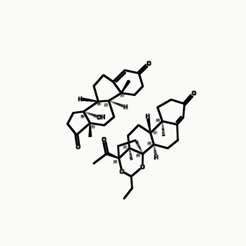 CCC1O[C@]2(C(C)=O)CC[C@@]3(O1)[C@@H]1CCC4=CC(=O)CC[C@]4(C)[C@H]1CC[C@]23C.C[C@]12CCC(=O)C=C1CC[C@@H]1[C@@H]2CC[C@]2(C)C(=O)CC[C@@]12O